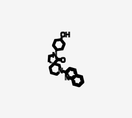 O=C1N([C@H]2CC[C@H](O)CC2)CC[C@]12CCCN(c1ccc3ccccc3n1)C2